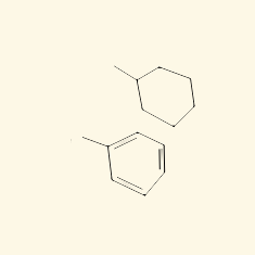 CCC1CCCCC1.Cc1ccccc1